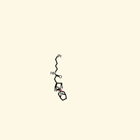 CC(C)CCCCNC(=O)Cc1cnc(N2C3CCC2CN(C(C)C)C3)nc1